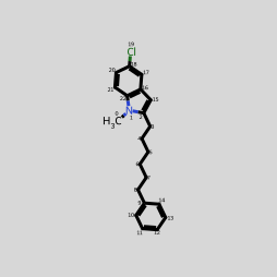 Cn1c(CCCCCCc2ccccc2)cc2cc(Cl)ccc21